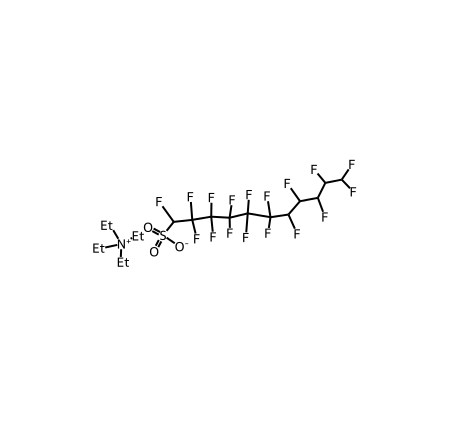 CC[N+](CC)(CC)CC.O=S(=O)([O-])C(F)C(F)(F)C(F)(F)C(F)(F)C(F)(F)C(F)(F)C(F)C(F)C(F)C(F)C(F)F